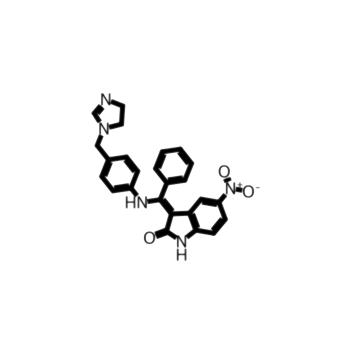 O=C1Nc2ccc([N+](=O)[O-])cc2/C1=C(/Nc1ccc(CN2C=NCC2)cc1)c1ccccc1